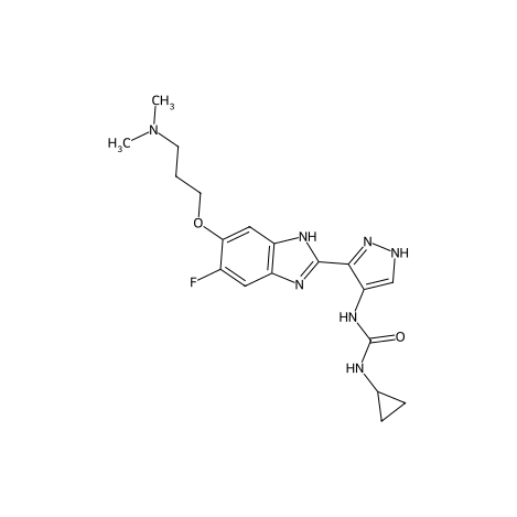 CN(C)CCCOc1cc2[nH]c(-c3n[nH]cc3NC(=O)NC3CC3)nc2cc1F